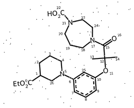 CCOC(=O)C1CCCN(c2cccc(OC(C)(C)C(=O)N3CCCN(C(=O)O)CC3)c2)C1